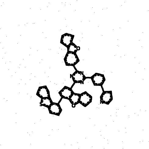 c1cncc(-c2cccc(-c3nc(-c4ccc5c(c4)oc4ccccc45)nc(-c4ccc(-c5cccc6sc7ccccc7c56)c5oc6ccccc6c45)n3)c2)c1